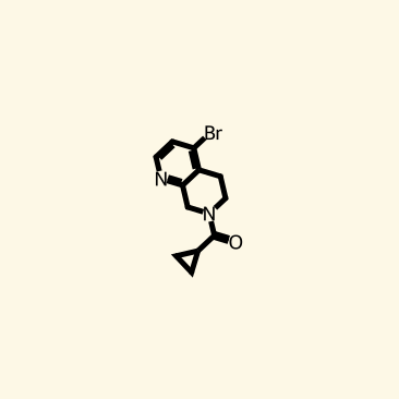 O=C(C1CC1)N1CCc2c(Br)ccnc2C1